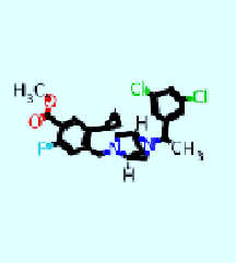 COC(=O)c1cc(C2CC2)c(CN2C[C@@H]3C[C@H]2CN3C(C)c2cc(Cl)cc(Cl)c2)cc1F